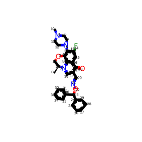 C[C@H]1COc2c(N3CCN(C)CC3)c(F)cc3c(=O)c(/C=N/OC(c4ccccc4)c4ccccc4)cn1c23